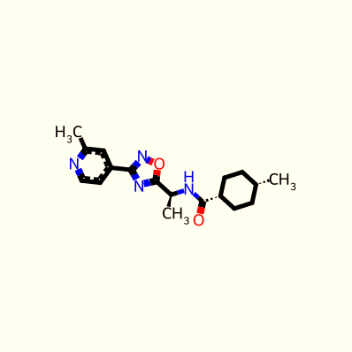 Cc1cc(-c2noc([C@H](C)NC(=O)[C@H]3CC[C@@H](C)CC3)n2)ccn1